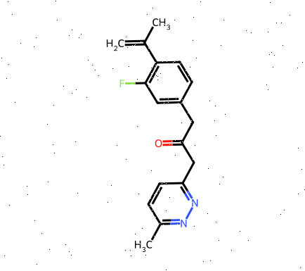 C=C(C)c1ccc(CC(=O)Cc2ccc(C)nn2)cc1F